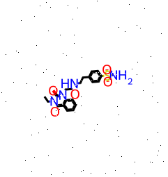 CCn1c(=O)c2ccccc2n(CC(=O)NCCc2ccc(S(N)(=O)=O)cc2)c1=O